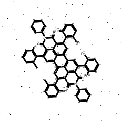 Cc1cccc(C(C)C)c1-c1cc2c3cc(-c4c(C)cccc4C(C)C)c4c5c(c(-c6c(C(C)C)cccc6C(C)C)cc(c6cc(-c7c(C(C)C)cccc7C(C)C)c7c(c1C(=O)N(c1ccccc1)C7=O)c26)c53)C(=O)N(c1ccccc1)C4=O